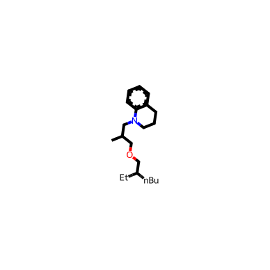 CCCCC(CC)COCC(C)CN1CCCc2ccccc21